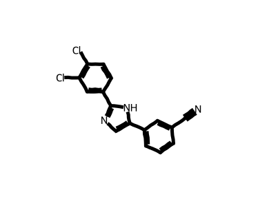 N#Cc1cccc(-c2cnc(-c3ccc(Cl)c(Cl)c3)[nH]2)c1